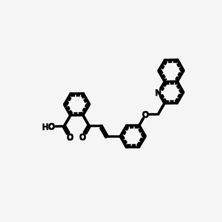 O=C(O)c1ccccc1C(=O)C=Cc1cccc(OCc2ccc3ccccc3n2)c1